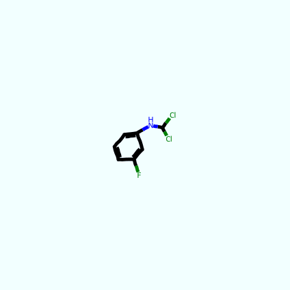 Fc1cccc(NC(Cl)Cl)c1